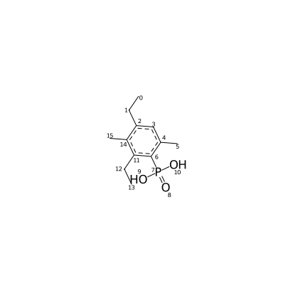 CCc1cc(C)c(P(=O)(O)O)c(CC)c1C